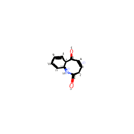 O=C1C/C=C\C(=O)C2C=CC=C/C2=N/1